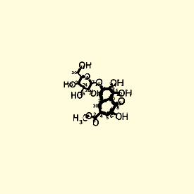 COC(=O)c1cc(O)c(=O)c2c(O)c(O)c(O[C@@H]3O[C@H](CO)[C@@H](O)[C@H](O)[C@H]3O)cc2c1